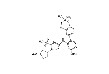 COC1CCN(c2ccc(Nc3cc(NC(C)=O)ncc3-c3ccc4c(n3)OCC(C)(C)O4)nc2S(C)(=O)=O)C1